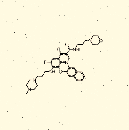 CN1CCN(CCCNc2c(F)cc3c(=O)c(C(=O)NCCCN4CCOCC4)cn4c3c2Oc2cc3ccccc3cc2-4)CC1